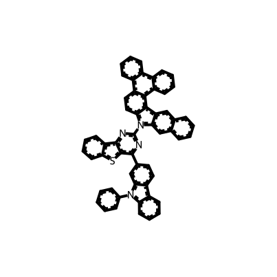 c1ccc(-n2c3ccccc3c3ccc(-c4nc(-n5c6cc7ccccc7cc6c6c7c8ccccc8c8ccccc8c7ccc65)nc5c4sc4ccccc45)cc32)cc1